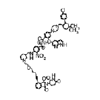 CC1(C)CCC(CN2CCN(c3ccc(C(=O)NS(=O)(=O)c4ccc(NCC5CCCN(CCOCCCC#Cc6cccc7c6C(=O)N(C6CCC(=O)NC6=O)C7=O)C5)c([N+](=O)[O-])c4)c(Oc4cnc5[nH]ccc5c4)c3)CC2)=C(c2ccc(Cl)cc2)C1